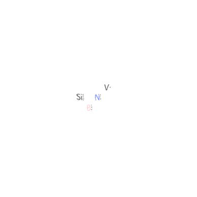 [B].[N].[Si].[V]